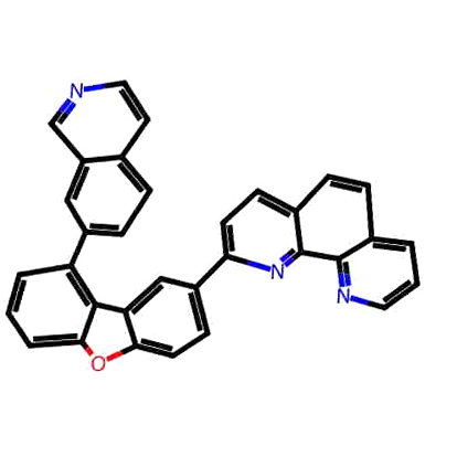 c1cnc2c(c1)ccc1ccc(-c3ccc4oc5cccc(-c6ccc7ccncc7c6)c5c4c3)nc12